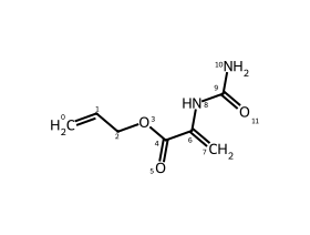 C=CCOC(=O)C(=C)NC(N)=O